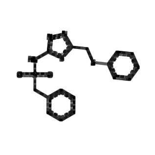 O=S(=O)(Cc1ccccc1)Nc1nnc(CSc2ccccc2)s1